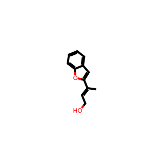 C/C(=C\CO)c1cc2ccccc2o1